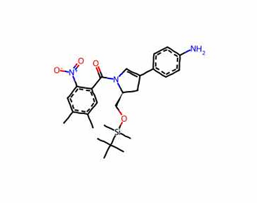 Cc1cc(C(=O)N2C=C(c3ccc(N)cc3)C[C@H]2CO[Si](C)(C)C(C)(C)C)c([N+](=O)[O-])cc1C